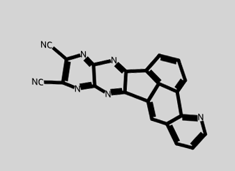 N#Cc1nc2nc3c(nc2nc1C#N)-c1cc2cccnc2c2cccc-3c12